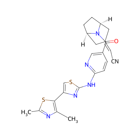 Cc1nc(C)c(-c2csc(Nc3ccc(C(=O)N4[C@@H]5CC[C@H]4C/C(=C/C#N)C5)cn3)n2)s1